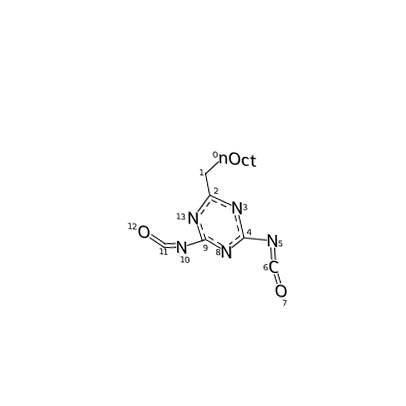 CCCCCCCCCc1nc(N=C=O)nc(N=C=O)n1